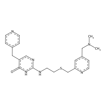 CN(C)Cc1ccnc(CSCCNc2ncc(Cc3ccncc3)c(=O)[nH]2)c1